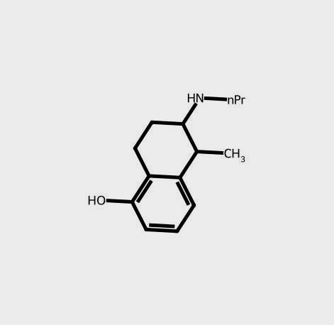 CCCNC1CCc2c(O)cccc2C1C